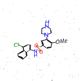 COc1ccc(S(=O)(=O)Nc2ccc(Cl)c3ccccc23)cc1N1CCNCC1